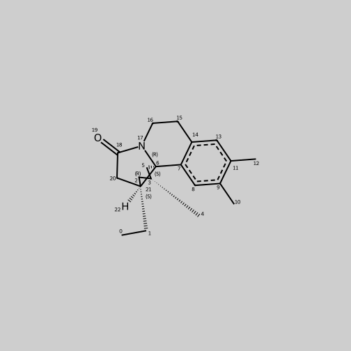 CC[C@@H]1[C@@H](C)C[C@@]23c4cc(C)c(C)cc4CCN2C(=O)C[C@@H]13